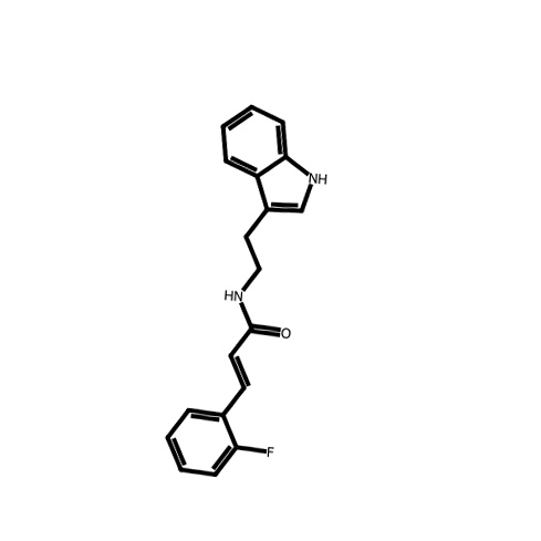 O=C(C=Cc1ccccc1F)NCCc1c[nH]c2ccccc12